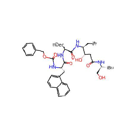 CCCCCCCCCC[C@H](NC(=O)[C@H](Cc1cccc2ccccc12)NC(=O)OCc1ccccc1)C(=O)N[C@@H](CC(C)C)[C@@H](O)CC(=O)N[C@H](CO)[C@@H](C)CC